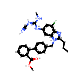 CCCc1nc2c(Cl)cc(N/C(=N\C#N)NC)cc2n1Cc1ccc(-c2ccccc2C(=O)OC)cc1